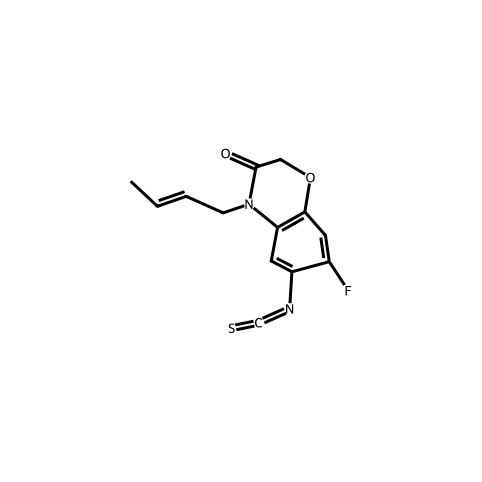 C/C=C/CN1C(=O)COc2cc(F)c(N=C=S)cc21